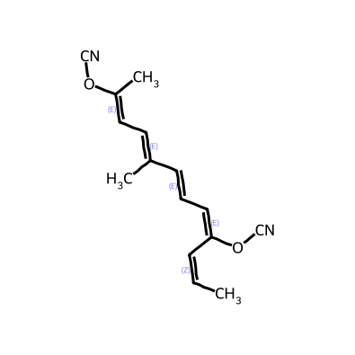 C\C=C/C(=C\C=C\C(C)=C\C=C(/C)OC#N)OC#N